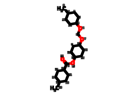 CC1CCC(OCOC2CCC(OC(=O)C3CCC(C)CC3)CC2)CC1